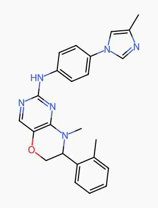 Cc1cn(-c2ccc(Nc3ncc4c(n3)N(C)C(c3ccccc3C)CO4)cc2)cn1